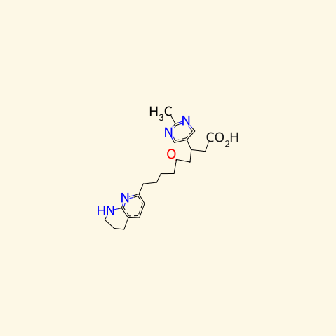 Cc1ncc(C(CC(=O)O)CC(=O)CCCCc2ccc3c(n2)NCCC3)cn1